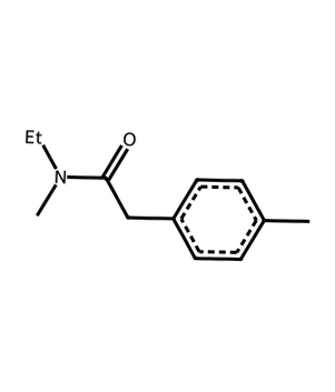 CCN(C)C(=O)Cc1ccc(C)cc1